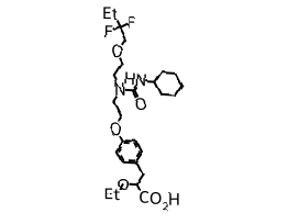 CCOC(Cc1ccc(OCCN(CCOCC(F)(F)CC)C(=O)NC2CCCCC2)cc1)C(=O)O